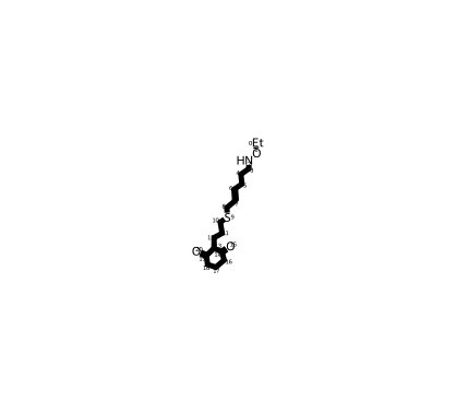 CCONCCCC=CCSCCCC1C(=O)CCCC1=O